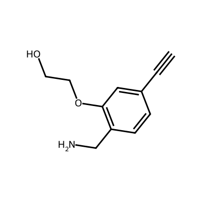 C#Cc1ccc(CN)c(OCCO)c1